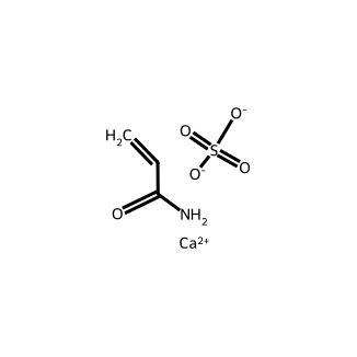 C=CC(N)=O.O=S(=O)([O-])[O-].[Ca+2]